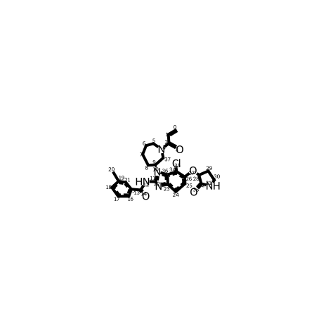 C=CC(=O)N1CCCC[C@@H](n2c(NC(=O)c3cccc(C)c3)nc3ccc(OC4CCNC4=O)c(Cl)c32)C1